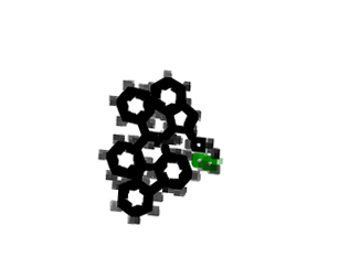 CC1=Cc2ccccc2[CH]1[Zr+2](=[C](c1ccccc1)c1ccccc1)[c]1cccc2c1Cc1ccccc1-2.[Cl-].[Cl-]